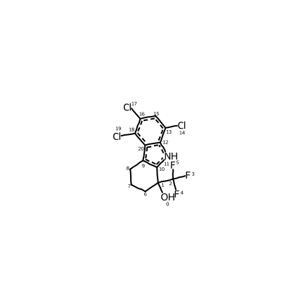 OC1(C(F)(F)F)CCCc2c1[nH]c1c(Cl)cc(Cl)c(Cl)c21